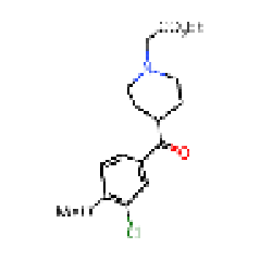 CCOC(=O)CN1CCC(C(=O)c2ccc(OC)c(Cl)c2)CC1